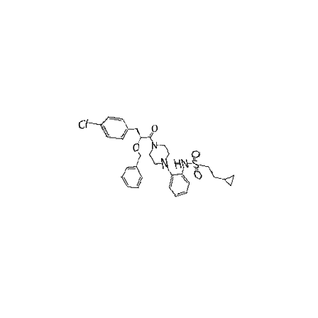 O=C([C@H](Cc1ccc(Cl)cc1)OCc1ccccc1)N1CCN(c2ccccc2NS(=O)(=O)CCC2CC2)CC1